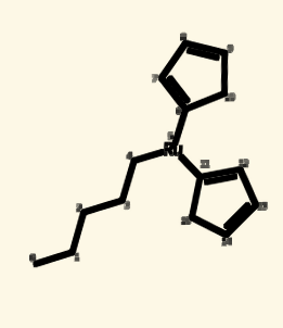 CCCC[CH2][Ru]([C]1=CC=CC1)[C]1=CC=CC1